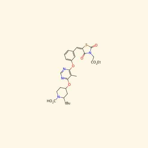 CCOC(=O)CN1C(=O)SC(=Cc2cccc(Oc3ncnc(OC4CCN(C(=O)O)C(C(C)(C)C)C4)c3C)c2)C1=O